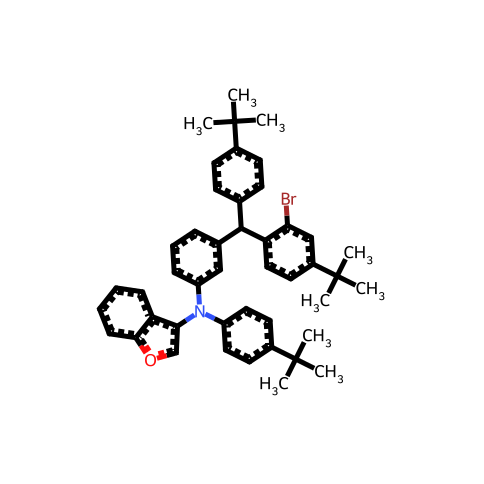 CC(C)(C)c1ccc(C(c2cccc(N(c3ccc(C(C)(C)C)cc3)c3coc4ccccc34)c2)c2ccc(C(C)(C)C)cc2Br)cc1